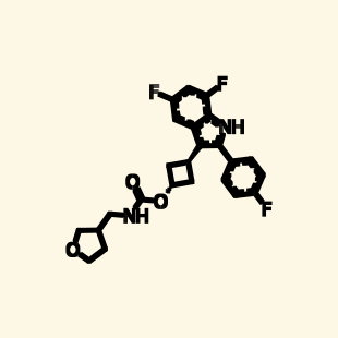 O=C(NCC1CCOC1)O[C@H]1C[C@H](c2c(-c3ccc(F)cc3)[nH]c3c(F)cc(F)cc32)C1